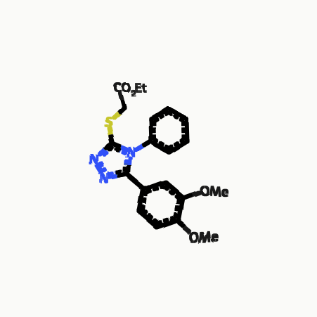 CCOC(=O)CSc1nnc(-c2ccc(OC)c(OC)c2)n1-c1ccccc1